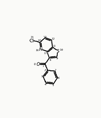 O=C(c1ccccc1)c1csc2ccc(Cl)nc12